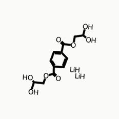 O=C(OCC(O)O)c1ccc(C(=O)OCC(O)O)cc1.[LiH].[LiH]